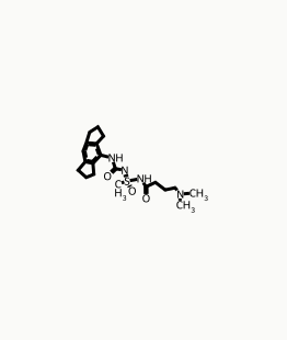 CN(C)CCCC(=O)NS(C)(=O)=NC(=O)Nc1c2c(cc3c1CCC3)CCC2